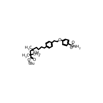 CC(C)(CCCCc1ccc(CCOc2ccc(S(N)(=O)=O)cc2)cc1)CC(C)(C)C(=O)OC(C)(C)C